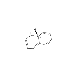 C1=CN[C@@H]2C=CC=CC2=C1